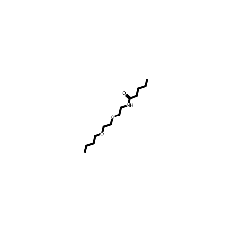 CCCCOCCOCCNC(=O)CCCC